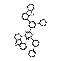 C1=CC(c2cccc(-c3nc(-c4cc(-c5ccccc5)cc(-c5cccc6c5oc5ccccc56)c4)nc(-c4cccc5sc6ccccc6c45)n3)c2)=CCC1